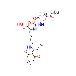 CC(C)COC(=O)CC[C@H](NC(=O)NC(CCCCNC(CC(C)C)=C1C(=O)CC(C)(C)CC1=O)C(=O)OO)C(=O)OCC(C)C